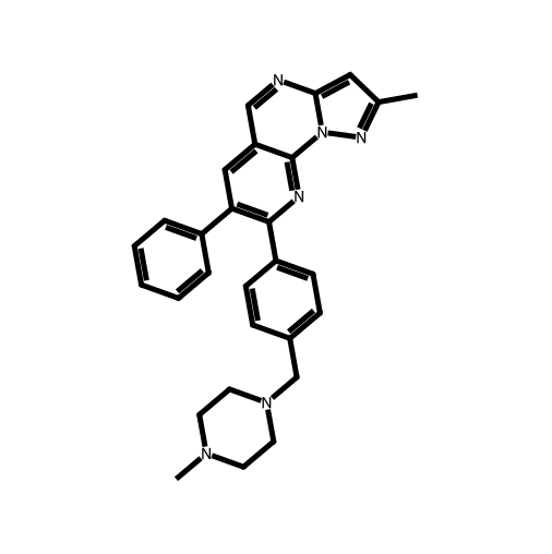 Cc1cc2ncc3cc(-c4ccccc4)c(-c4ccc(CN5CCN(C)CC5)cc4)nc3n2n1